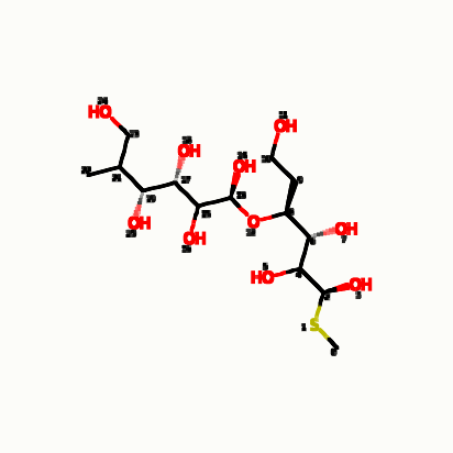 CS[C@H](O)C(O)[C@@H](O)[C@H](CCO)O[C@H](O)C(O)[C@@H](O)[C@H](O)C(C)CO